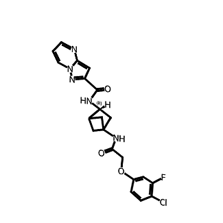 O=C(COc1ccc(Cl)c(F)c1)NC12CC(C1)[C@H](NC(=O)c1cc3ncccn3n1)C2